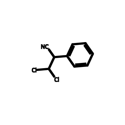 N#CC(c1ccccc1)C(Cl)Cl